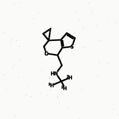 [2H]C([2H])([2H])NCC1OCC2(CC2)c2ccsc21